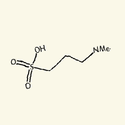 C[N]CCCS(=O)(=O)O